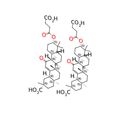 CC1(C)[C@@H](OC(=O)CCC(=O)O)CC[C@]2(C)[C@H]3C(=O)C=C4[C@@H]5C[C@@](C)(C(=O)O)CC[C@]5(C)CC[C@@]4(C)[C@]3(C)CC[C@@H]12.CC1(C)[C@@H](OC(=O)CCC(=O)O)CC[C@]2(C)[C@H]3C(=O)C=C4[C@@H]5C[C@@](C)(C(=O)O)CC[C@]5(C)CC[C@@]4(C)[C@]3(C)CC[C@@H]12